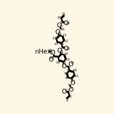 C=CC(=O)OCOc1ccc(C(=O)Oc2ccc(OC(=O)c3ccc(OCOC(=O)C=C)cc3)c(C(=O)OCCCCCC)c2)cc1